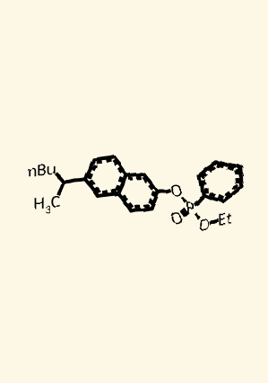 CCCCC(C)c1ccc2cc(OP(=O)(OCC)c3ccccc3)ccc2c1